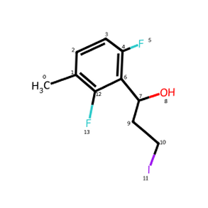 Cc1ccc(F)c(C(O)CCI)c1F